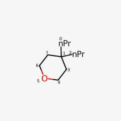 CCCC1(CCC)CCOCC1